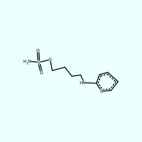 NS(=O)(=O)OCCCCNc1ccccn1